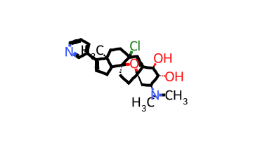 CN(C)[C@H]1C[C@@]23CC[C@]4(O2)C2CC=C(c5cccnc5)[C@@]2(C)CCC4(Cl)C=C3[C@@H](O)[C@@H]1O